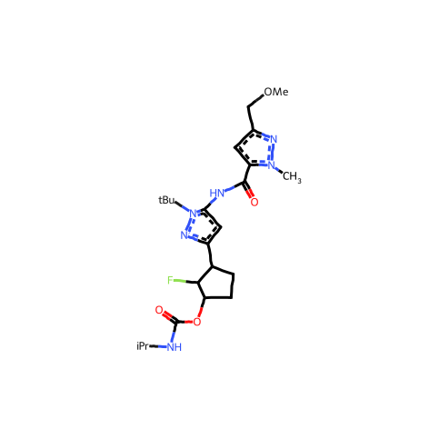 COCc1cc(C(=O)Nc2cc(C3CCC(OC(=O)NC(C)C)C3F)nn2C(C)(C)C)n(C)n1